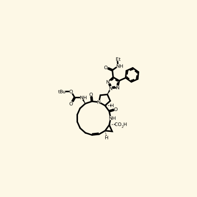 CCNC(=O)c1nn([C@H]2C[C@H]3C(=O)N[C@@]4(C(=O)O)C[C@H]4/C=C\CCCCC[C@@H](NC(=O)OC(C)(C)C)C(=O)N3C2)nc1-c1ccccc1